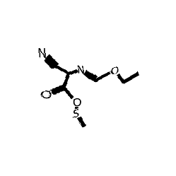 CCO/C=N/C(C#N)C(=O)OSC